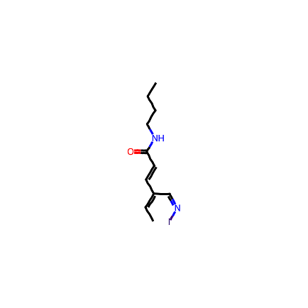 C/C=C(\C=N/I)/C=C/C(=O)NCCCC